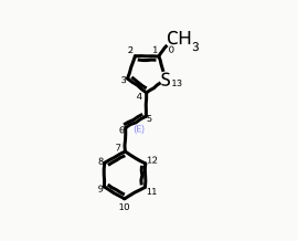 Cc1ccc(/C=C/c2ccccc2)s1